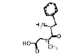 CN(CC(=O)O)C(=O)[C@@H](N)Cc1ccccc1